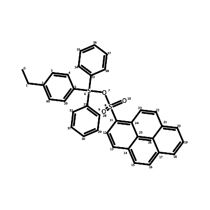 CCc1ccc(S(OS(=O)(=O)c2ccc3ccc4cccc5ccc2c3c45)(c2ccccc2)c2ccccc2)cc1